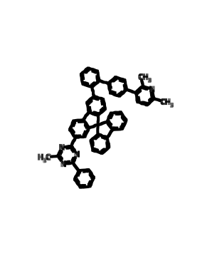 Cc1ccc(-c2ccc(-c3ccccc3-c3ccc4c(c3)-c3ccc(-c5nc(C)nc(-c6ccccc6)n5)cc3C43c4ccccc4-c4ccccc43)cc2)c(C)n1